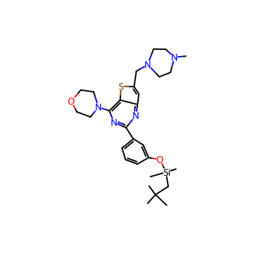 CN1CCN(Cc2cc3nc(-c4cccc(O[Si](C)(C)CC(C)(C)C)c4)nc(N4CCOCC4)c3s2)CC1